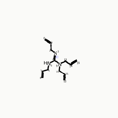 C=CC/N=C(\NCC=C)N(CC=C)CC=C